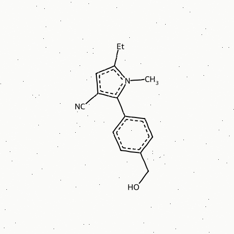 CCc1cc(C#N)c(-c2ccc(CO)cc2)n1C